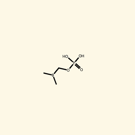 CB(C)COP(=O)(O)O